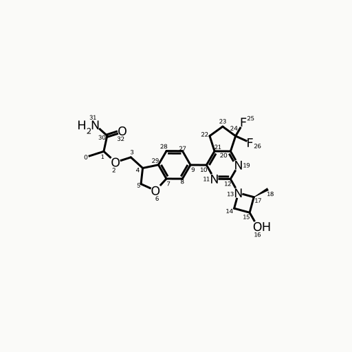 CC(OCC1COc2cc(-c3nc(N4CC(O)[C@@H]4C)nc4c3CCC4(F)F)ccc21)C(N)=O